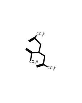 C=C(CC(CC(=C)C(=O)O)C(=C)C(=O)O)C(=O)O